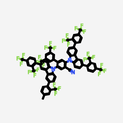 Cc1ccc(-c2ccc3c(c2)c2cc(-c4ccc(C(F)(F)F)cc4C(F)(F)F)ccc2n3-c2cc(C#N)c(-n3c4ccc(-c5ccc(C(F)(F)F)cc5C(F)(F)F)cc4c4cc(-c5ccc(C(F)(F)F)cc5C(F)(F)F)ccc43)cc2-c2cc(C(F)(F)F)cc(C(F)(F)F)c2)c(C(F)(F)F)c1